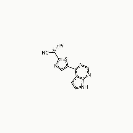 CCC[C@@H](C#N)c1ncc(-c2ncnc3[nH]ccc23)s1